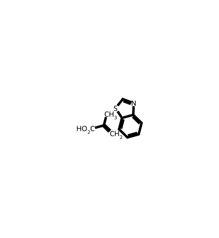 C=C(C)C(=O)O.c1ccc2scnc2c1